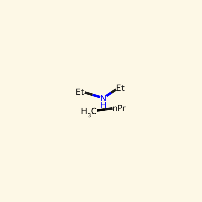 CCCC.CCNCC